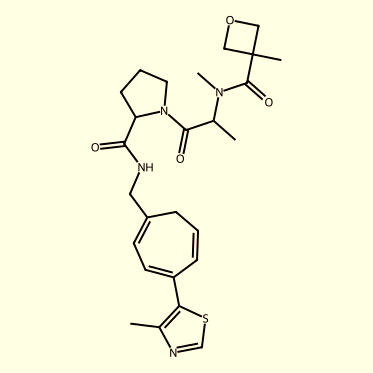 Cc1ncsc1C1=CC=C(CNC(=O)C2CCCN2C(=O)C(C)N(C)C(=O)C2(C)COC2)CC=C1